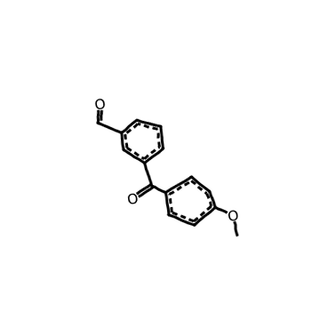 COc1ccc(C(=O)c2cccc(C=O)c2)cc1